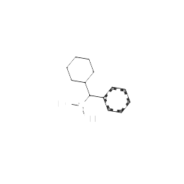 CN(C)C(c1ccccc1)C1CCCCC1